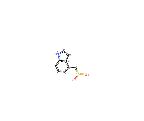 O=S(=O)=Cc1cccc2[nH]ccc12